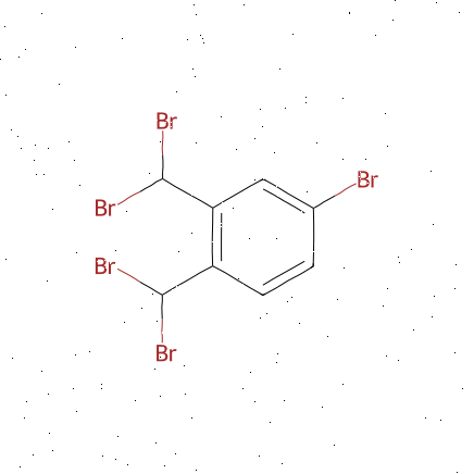 Brc1ccc(C(Br)Br)c(C(Br)Br)c1